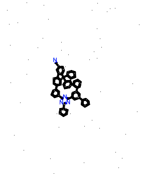 N#Cc1ccc2c(c1)-c1ccc(-c3cccc(-c4nc(-c5ccccc5)nc(-c5cc(-c6ccccc6)cc(-c6ccccc6)c5)n4)c3)cc1C2(c1ccccc1)c1ccccc1